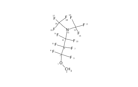 COC(F)(F)C(F)(F)C(F)(F)N(C(F)(F)F)C(F)(F)F